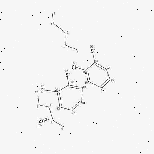 CCCCC.CCCCC.[S-]c1ccccc1Cl.[S-]c1ccccc1Cl.[Zn+2]